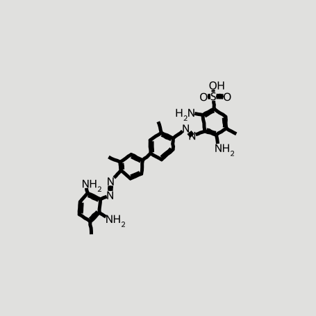 Cc1cc(-c2ccc(N=Nc3c(N)c(C)cc(S(=O)(=O)O)c3N)c(C)c2)ccc1N=Nc1c(N)ccc(C)c1N